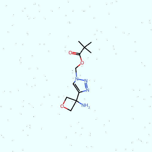 CC(C)(C)C(=O)OCn1cc(C2(N)COC2)nn1